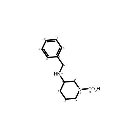 O=C(O)N1CCCC(NCc2ccccc2)C1